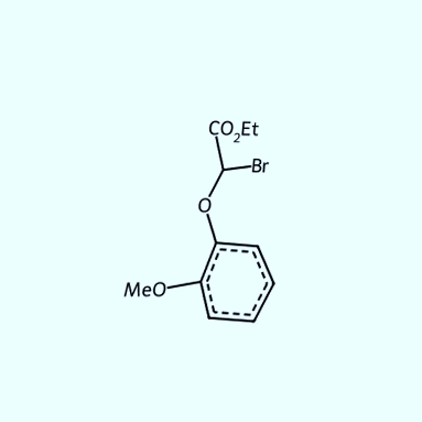 CCOC(=O)C(Br)Oc1ccccc1OC